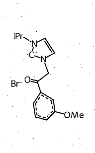 COc1cccc(C(=O)CN2[C+]N(C(C)C)C=C2)c1.[Br-]